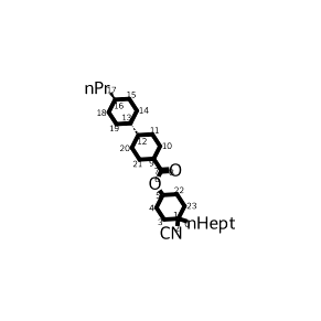 CCCCCCCC1(C#N)CCC(OC(=O)C2CCC([C@H]3CC[C@H](CCC)CC3)CC2)CC1